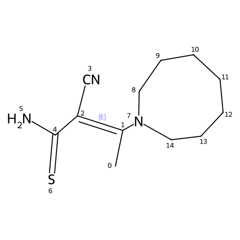 C/C(=C(/C#N)C(N)=S)N1CCCCCCC1